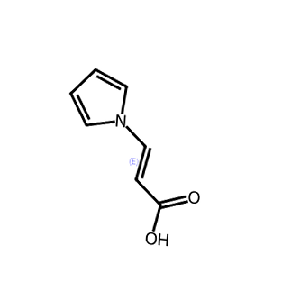 O=C(O)/C=C/n1cccc1